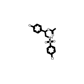 CC(=O)OC(CNS(=O)(=O)c1ccc(Cl)cc1)c1ccc([O])cc1